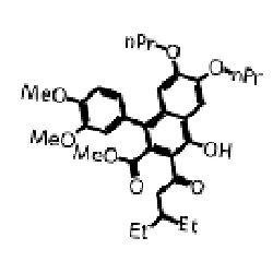 CCCOc1cc2c(O)c(C(=O)CC(CC)CC)c(C(=O)OC)c(-c3ccc(OC)c(OC)c3)c2cc1OCCC